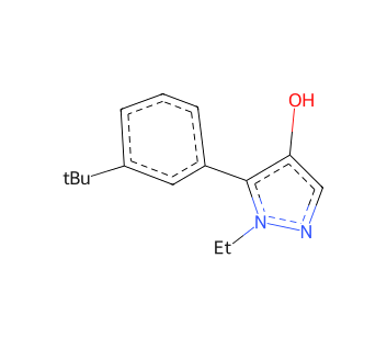 CCn1ncc(O)c1-c1cccc(C(C)(C)C)c1